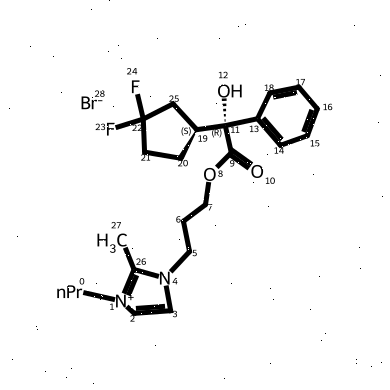 CCC[n+]1ccn(CCCOC(=O)[C@](O)(c2ccccc2)[C@H]2CCC(F)(F)C2)c1C.[Br-]